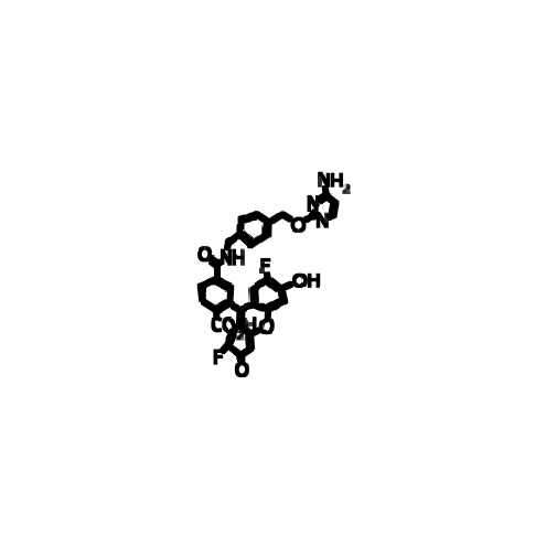 Nc1ccnc(OCc2ccc(CNC(=O)c3ccc(C(=O)O)c(-c4c5cc(F)c(=O)cc-5oc5cc(O)c(F)cc45)c3)cc2)n1